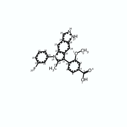 COc1cc(C(=O)O)ccc1-c1c(C)n(-c2cccc(F)c2)c2cc3cn[nH]c3cc12